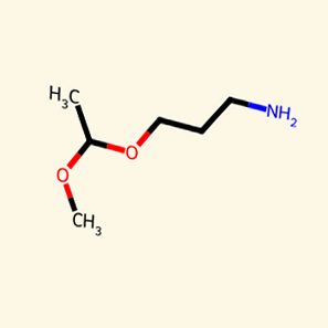 COC(C)OCCCN